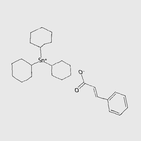 C1CC[CH]([Sn+]([CH]2CCCCC2)[CH]2CCCCC2)CC1.O=C([O-])C=Cc1ccccc1